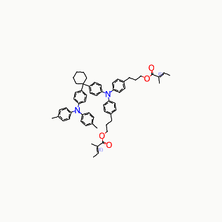 C/C=C(\C)C(=O)OCCCc1ccc(N(c2ccc(CCCOC(=O)/C(C)=C/C)cc2)c2ccc(C3(c4ccc(N(c5ccc(C)cc5)c5ccc(C)cc5)cc4)CCCCC3)cc2)cc1